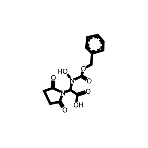 O=C(O)C(N(O)C(=O)OCc1ccccc1)N1C(=O)CCC1=O